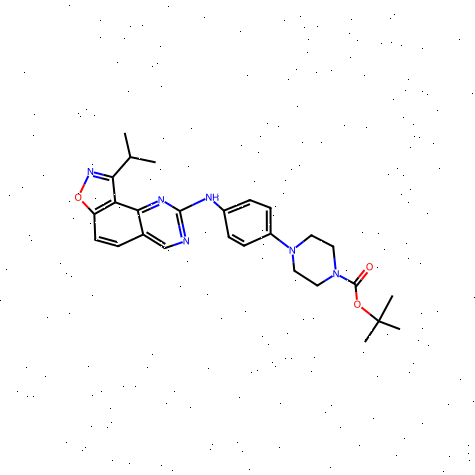 CC(C)c1noc2ccc3cnc(Nc4ccc(N5CCN(C(=O)OC(C)(C)C)CC5)cc4)nc3c12